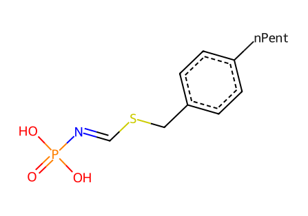 CCCCCc1ccc(CSC=NP(=O)(O)O)cc1